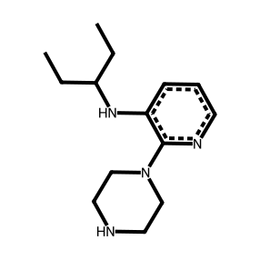 CCC(CC)Nc1cccnc1N1CCNCC1